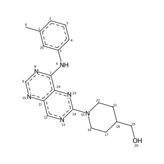 Cc1cccc(Nc2ncnc3cnc(N4CCC(CO)CC4)nc23)c1